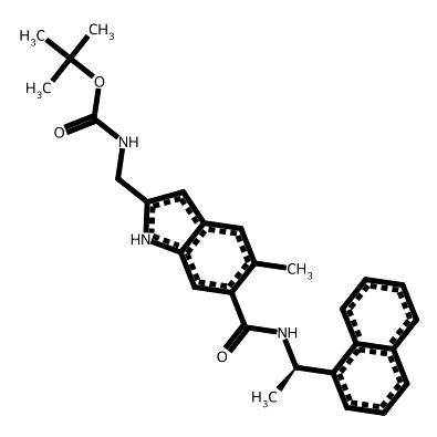 Cc1cc2cc(CNC(=O)OC(C)(C)C)[nH]c2cc1C(=O)N[C@H](C)c1cccc2ccccc12